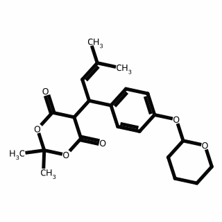 CC(C)=CC(c1ccc(OC2CCCCO2)cc1)C1C(=O)OC(C)(C)OC1=O